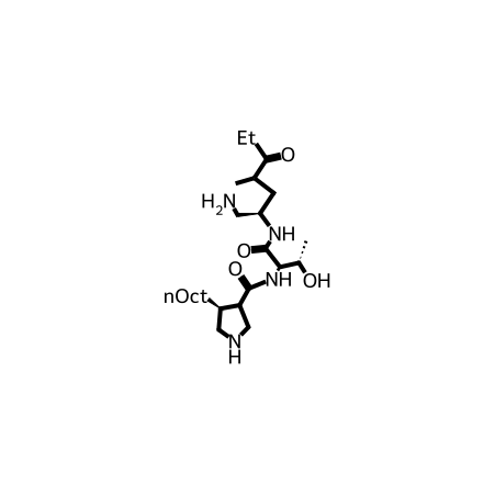 CCCCCCCC[C@@H]1CNCC1C(=O)N[C@H](C(=O)N[C@@H](CN)CC(C)C(=O)CC)[C@H](C)O